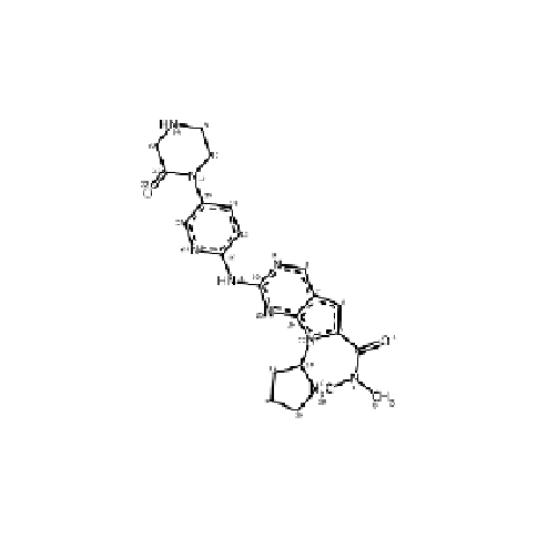 CN(C)C(=O)c1cc2cnc(Nc3ccc(N4CCNCC4=O)cn3)nc2n1C1CCCC1